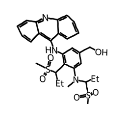 CCC(c1c(Nc2c3ccccc3nc3ccccc23)cc(CO)cc1N(C)C(CC)S(C)(=O)=O)S(C)(=O)=O